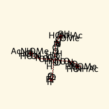 CO[C@@H]1C[C@H](COCc2cn(CCOCCOCCNC(=O)CCC(CCC(=O)NCCOCCOCCn3cc(COC[C@H]4C[C@@H](OC)[C@H](NC(C)=O)[C@@H](O)[C@H]4O)nn3)(CCC(=O)NCCOCCOCCn3cc(COC[C@H]4C[C@@H](OC)[C@H](NC(C)=O)[C@@H](O)[C@H]4O)nn3)NC(=O)CCCCCCCCCCC(=O)Oc3c(F)c(F)c(F)c(F)c3F)nn2)[C@H](O)[C@H](O)[C@H]1NC(C)=O